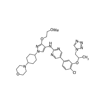 COCCOc1nn(C2CCC(N3CCOCC3)CC2)cc1Nc1ncc(-c2ccc(Cl)c(OC(C)Cn3cnnn3)c2)cn1